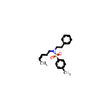 C/C=C\CCN(CCc1ccccc1)S(=O)(=O)c1ccc(C)cc1